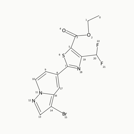 CCOC(=O)c1sc(-c2ccn3ncc(Br)c3c2)nc1C(F)F